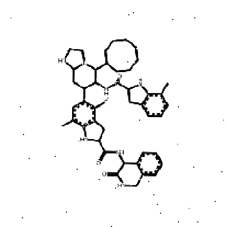 Cc1cccc2c1NC(C(=O)NC1C(c3cc(C)c4c(c3F)CC(C(=O)NC3C(=O)NCc5ccccc53)N4)CC3NCCN3C1C1CCCCCCC1)C2